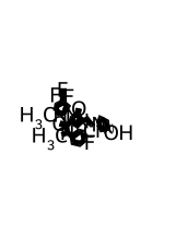 Cc1cc(C(F)(F)F)cc(N2C(=O)N(CCN3CC[C@@H](O)C3)CC2C(=O)N(C)c2ccc(F)c(Cl)c2)n1